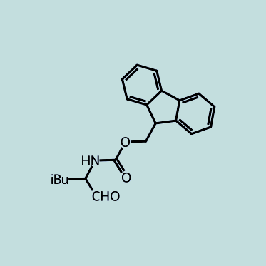 CCC(C)C(C=O)NC(=O)OCC1c2ccccc2-c2ccccc21